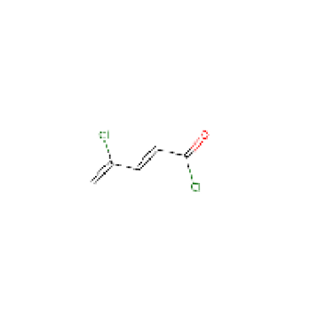 C=C(Cl)C=CC(=O)Cl